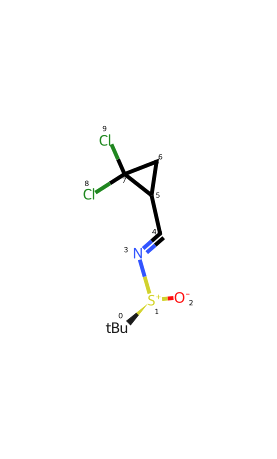 CC(C)(C)[S@+]([O-])N=CC1CC1(Cl)Cl